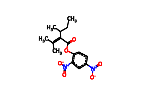 CCC(C)C(C(=O)Oc1ccc([N+](=O)[O-])cc1[N+](=O)[O-])=C(C)C